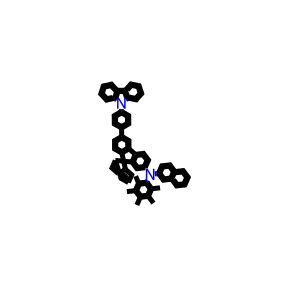 Cc1c(C)c(C)c(N(c2ccc3c(c2)C2(c4ccc(-c5ccc(-n6c7ccccc7c7ccccc76)cc5)cc4-3)C3CC4CC(C3)C2C4)c2ccc3ccccc3c2)c(C)c1C